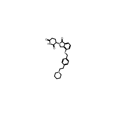 O=C1CCC(N2Cc3c(SCc4ccc(CCN5CCCCC5)cc4)cccc3C2=O)C(=O)N1